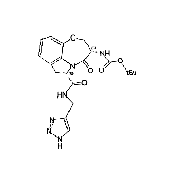 CC(C)(C)OC(=O)N[C@H]1COc2cccc3c2N(C1=O)[C@H](C(=O)NCc1c[nH]nn1)C3